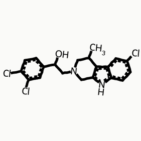 CC1CN(CC(O)c2ccc(Cl)c(Cl)c2)Cc2[nH]c3ccc(Cl)cc3c21